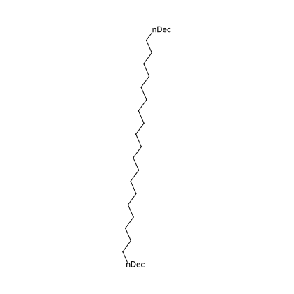 CCCCCCCCCCCCCCCCCCCCCCCCCCCCCCCCCCCCCCC